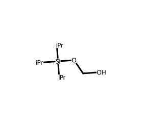 CC(C)[Si](OCO)(C(C)C)C(C)C